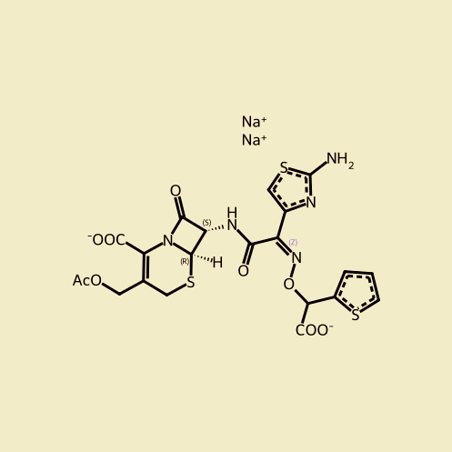 CC(=O)OCC1=C(C(=O)[O-])N2C(=O)[C@H](NC(=O)/C(=N\OC(C(=O)[O-])c3cccs3)c3csc(N)n3)[C@H]2SC1.[Na+].[Na+]